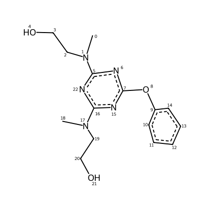 CN(CCO)c1nc(Oc2ccccc2)nc(N(C)CCO)n1